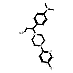 CN(C)c1ccc(C(CC=O)N2CCN(c3ccc(O)cn3)CC2)cc1